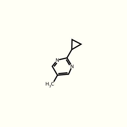 Cc1cnc(C2CC2)nc1